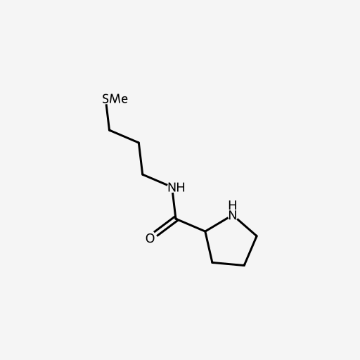 CSCCCNC(=O)C1CCCN1